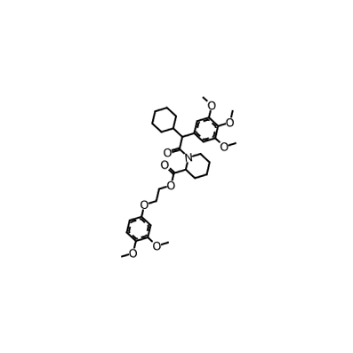 COc1ccc(OCCOC(=O)C2CCCCN2C(=O)C(c2cc(OC)c(OC)c(OC)c2)C2CCCCC2)cc1OC